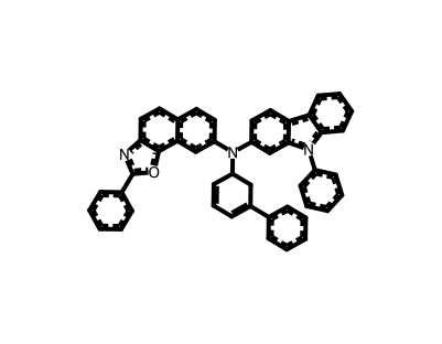 C1=CC(N(c2ccc3ccc4nc(-c5ccccc5)oc4c3c2)c2ccc3c4ccccc4n(-c4ccccc4)c3c2)CC(c2ccccc2)=C1